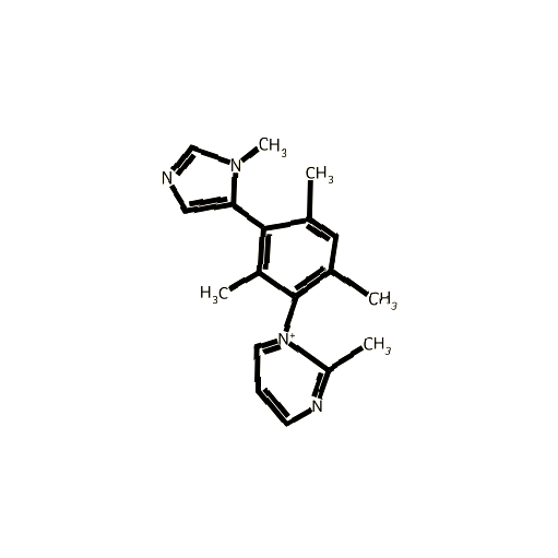 Cc1cc(C)c(-[n+]2cccnc2C)c(C)c1-c1cncn1C